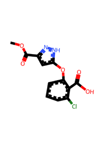 COC(=O)c1cc(Oc2cccc(Cl)c2C(=O)O)[nH]n1